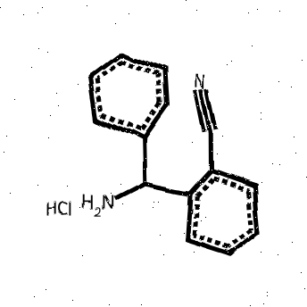 Cl.N#Cc1ccccc1C(N)c1ccccc1